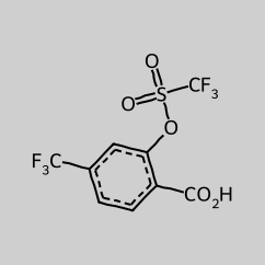 O=C(O)c1ccc(C(F)(F)F)cc1OS(=O)(=O)C(F)(F)F